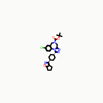 CC(C)(C)OC(=O)N1Cc2cc(Cl)ccc2-n2c(nnc2[C@H]2CC[C@H](c3noc4c3CCC4)CC2)C1